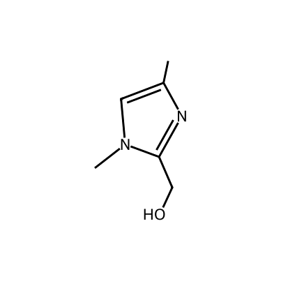 Cc1cn(C)c(CO)n1